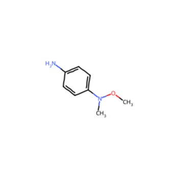 CON(C)c1ccc(N)cc1